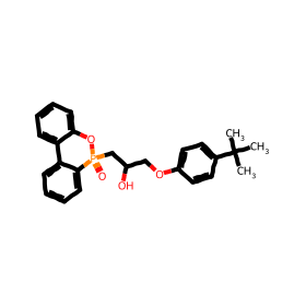 CC(C)(C)c1ccc(OCC(O)CP2(=O)Oc3ccccc3-c3ccccc32)cc1